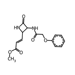 COC(=O)/C=C/C1NC(=O)C1NC(=O)COc1ccccc1